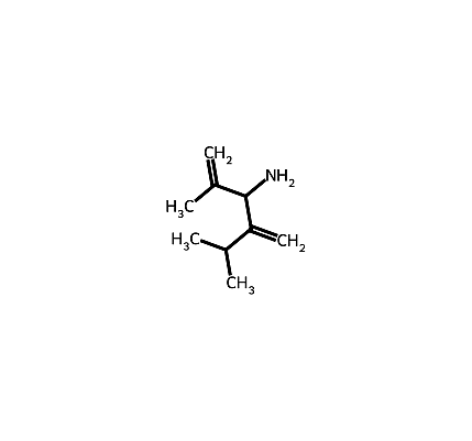 C=C(C)C(N)C(=C)C(C)C